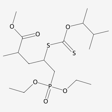 CCOP(=O)(CC(CC(C)C(=O)OC)SC(=S)OC(C)C(C)C)OCC